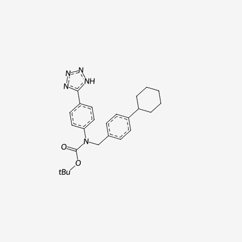 CC(C)(C)OC(=O)N(Cc1ccc(C2CCCCC2)cc1)c1ccc(-c2nnn[nH]2)cc1